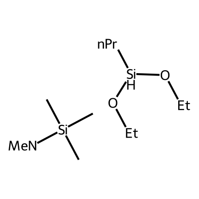 CCC[SiH](OCC)OCC.CN[Si](C)(C)C